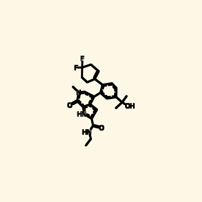 CCNC(=O)c1cc2c(-c3cc(C(C)(C)O)ccc3C3=CCC(F)(F)CC3)cn(C)c(=O)c2[nH]1